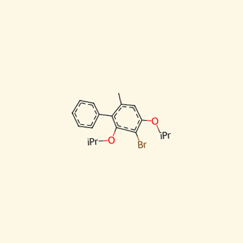 Cc1cc(OC(C)C)c(Br)c(OC(C)C)c1-c1ccccc1